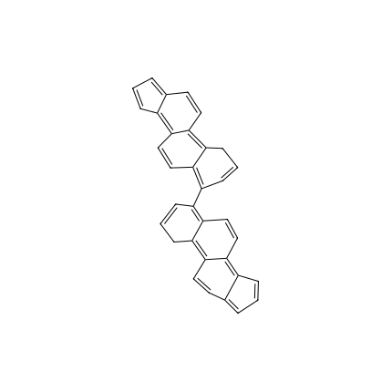 C1=Cc2c(ccc3c4c(ccc23)=C(C2=c3ccc5c6c(ccc5c3CC=C2)=CC=C6)C=CC4)=C1